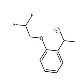 CC(N)c1ccccc1OCC(F)F